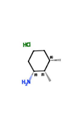 C[C@@H]1[C@H](N)CCC[C@@H]1C.Cl